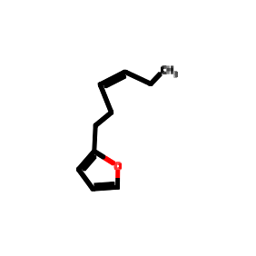 CC/C=C\CCc1ccco1